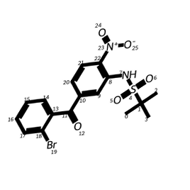 CC(C)(C)S(=O)(=O)Nc1cc(C(=O)c2ccccc2Br)ccc1[N+](=O)[O-]